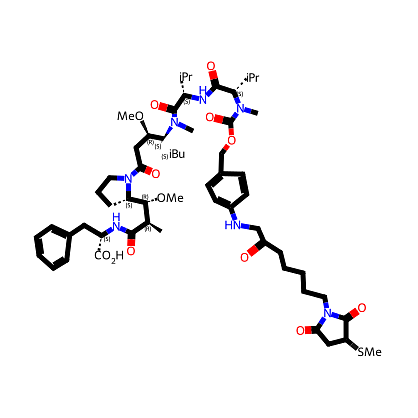 CC[C@H](C)[C@@H]([C@@H](CC(=O)N1CCC[C@H]1[C@H](OC)[C@@H](C)C(=O)N[C@@H](Cc1ccccc1)C(=O)O)OC)N(C)C(=O)[C@@H](NC(=O)[C@H](C(C)C)N(C)C(=O)OCc1ccc(NCC(=O)CCCCCN2C(=O)CC(SC)C2=O)cc1)C(C)C